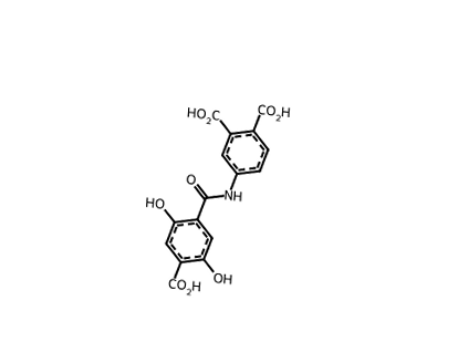 O=C(O)c1cc(O)c(C(=O)Nc2ccc(C(=O)O)c(C(=O)O)c2)cc1O